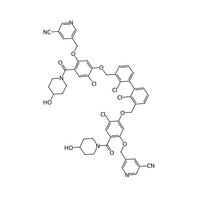 N#Cc1cncc(COc2cc(OCc3cccc(-c4cccc(COc5cc(OCc6cncc(C#N)c6)c(C(=O)N6CCC(O)CC6)cc5Cl)c4Cl)c3Cl)c(Cl)cc2C(=O)N2CCC(O)CC2)c1